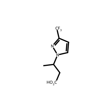 CC(CC(=O)O)n1ccc(C(F)(F)F)n1